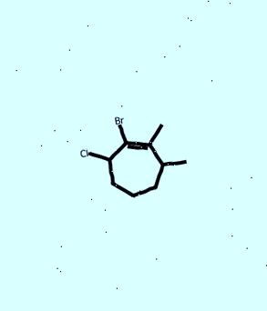 CC1=C(Br)C(Cl)CCCC1C